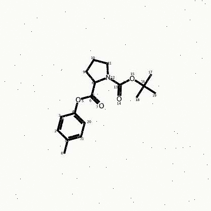 Cc1ccc(OC(=O)C2CCCN2C(=O)OC(C)(C)C)cc1